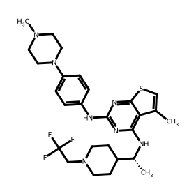 Cc1csc2nc(Nc3ccc(N4CCN(C)CC4)cc3)nc(N[C@H](C)C3CCN(CC(F)(F)F)CC3)c12